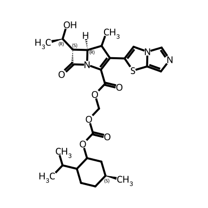 CC(C)C1CC[C@H](C)CC1OC(=O)OCOC(=O)C1=C(c2cn3cncc3s2)C(C)[C@@H]2[C@@H]([C@@H](C)O)C(=O)N12